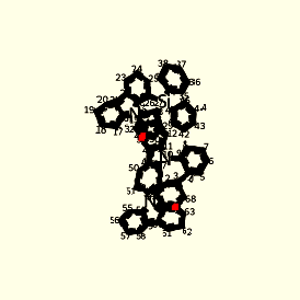 c1ccc(-c2ccccc2-n2c3ccc(-n4c5ccccc5c5cccc([Si](c6ccccc6)(c6ccccc6)c6ccccc6)c54)cc3c3ccc(-n4c5ccccc5c5ccccc54)cc32)cc1